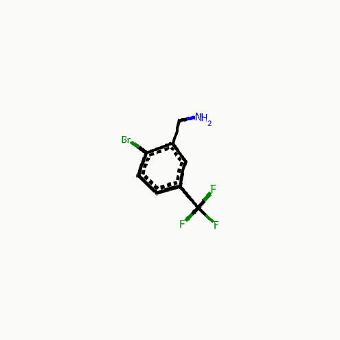 NCc1cc(C(F)(F)F)ccc1Br